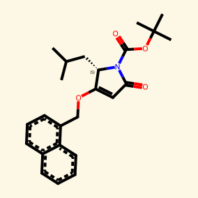 CC(C)C[C@H]1C(OCc2cccc3ccccc23)=CC(=O)N1C(=O)OC(C)(C)C